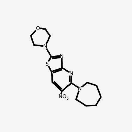 O=[N+]([O-])c1cc2sc(N3CCOCC3)nc2nc1N1CCCCCC1